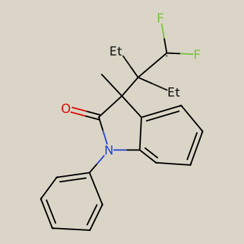 CCC(CC)([C](F)F)C1(C)C(=O)N(c2ccccc2)c2ccccc21